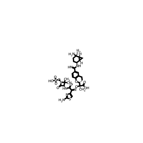 CC1(C)[C@H](NC(=O)/C(=N\O[C@](C)(C(=O)O)[C@H]2CCc3cc(C(=N)N[C@H]4CC[C@](C)(N)[C@@H]5C[C@H]45)ccc3O2)c2csc(N)n2)C(=O)N1OS(=O)(=O)O